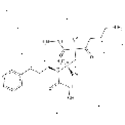 CCCC(C[C@](C)(CCC)[C@H](CCCc1ccccc1)C(=O)NO)(C(=O)CCCN)C(=O)NN